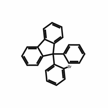 Brc1ccccc1C1(c2cc[c]cc2)c2ccccc2-c2ccccc21